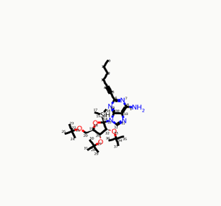 CCCCC#Cc1nc(N)c2ncn([C@@]3([SiH](C)C)O[C@H](COC(C)(C)C)[C@@H](OC(C)(C)C)[C@H]3OC(C)(C)C)c2n1